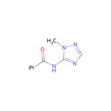 CC(C)C(=O)Nc1ncnn1C